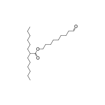 CCCCCCC(CCCCCC)C(=O)OCCCCCCCCC=O